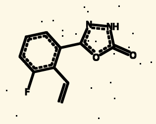 C=Cc1c(F)cccc1-c1n[nH]c(=O)o1